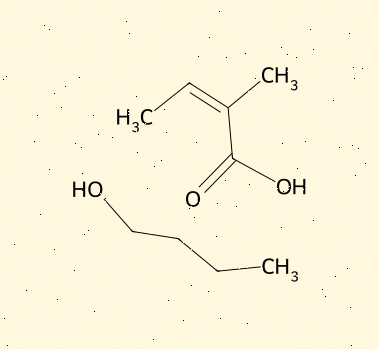 CC=C(C)C(=O)O.CCCCO